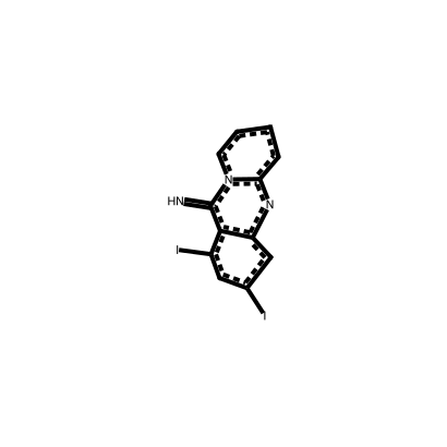 N=c1c2c(I)cc(I)cc2nc2ccccn12